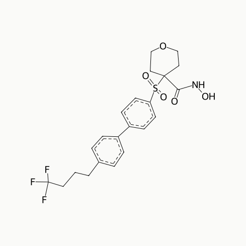 O=C(NO)C1(S(=O)(=O)c2ccc(-c3ccc(CCCC(F)(F)F)cc3)cc2)CCOCC1